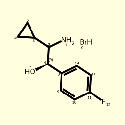 Br.NC(C1CC1)[C@H](O)c1ccc(F)cc1